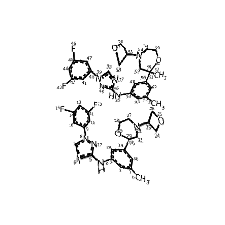 Cc1cc(Nc2ncn(-c3cc(F)cc(F)c3)n2)cc([C@@H]2CN(C3COC3)CCO2)c1.Cc1cc(Nc2ncn(-c3cc(F)cc(F)c3)n2)cc([C@]2(C)CN(C3COC3)CCO2)c1